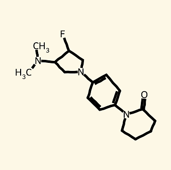 CN(C)C1CN(c2ccc(N3CCCCC3=O)cc2)CC1F